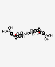 CC1(C)c2cc(C(=O)NCCSSCCNC(=O)c3ccc4c(c3)C(C)(C)C3(/C=N/c5ccc(N(CCO)CCO)cc5)OCCN43)ccc2N2CCOC21/C=N/c1ccc(N(CCO)CCO)cc1